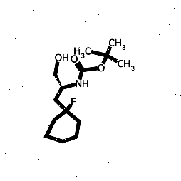 CC(C)(C)OC(=O)N[C@H](CO)CC1(F)CCCCC1